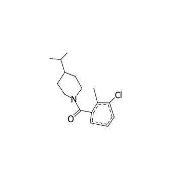 Cc1c(Cl)cccc1C(=O)N1CCC(C(C)C)CC1